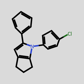 Clc1ccc(-n2c(-c3ccccc3)cc3c2CCC3)cc1